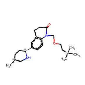 C[C@H]1CC[C@H](c2ccc3c(c2)CCC(=O)N3COCC[Si](C)(C)C)NC1